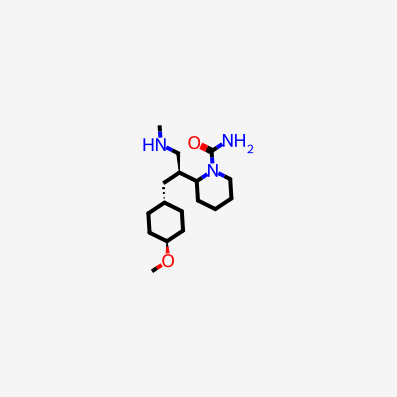 CNC[C@H](C[C@H]1CC[C@H](OC)CC1)C1CCCCN1C(N)=O